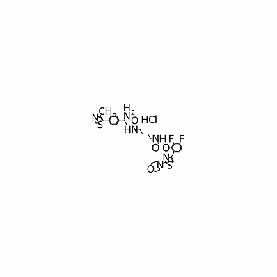 Cc1ncsc1-c1ccc(C(N)CC(=O)NCCCCNC(=O)COc2c(-c3csc(N4CCOCC4)n3)ccc(F)c2F)cc1.Cl